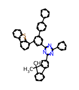 CC1(C)c2ccccc2-c2ccc(-c3nc(-c4ccccc4)nc(-c4cc(-c5ccc(-c6ccccc6)cc5)cc(-c5cccc6c5sc5ccccc56)c4)n3)cc21